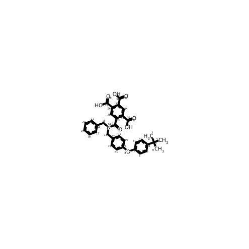 CC(C)(C)c1ccc(Oc2ccc(CN(Cc3ccccc3)C(=O)c3cc(C(=O)O)c(C(=O)O)cc3C(=O)O)cc2)cc1